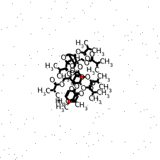 Cc1ccc(OCC(=O)OC[C@@H]2C3OC2(C(=O)C(C)C)O[C@@](COC(=O)C(C)C)(O[C@H]2OC(COC(=O)C(C)C)[C@@H](OC(=O)C(C)C)C(OC(=O)C(C)C)C2OC(=O)C(C)C)C3OC(=O)C(C)C)cc1